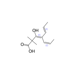 C\C=C/C(/C=C/C)=C(/O)C(C)(C)C(=O)O